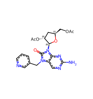 CC(=O)OC[C@@H]1C[C@@H](OC(C)=O)[C@H](n2c(=O)n(Cc3cccnc3)c3cnc(N)nc32)O1